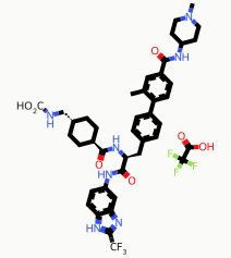 Cc1cc(C(=O)NC2CCN(C)CC2)ccc1-c1ccc(C[C@H](NC(=O)[C@H]2CC[C@H](CNC(=O)O)CC2)C(=O)Nc2ccc3[nH]c(C(F)(F)F)nc3c2)cc1.O=C(O)C(F)(F)F